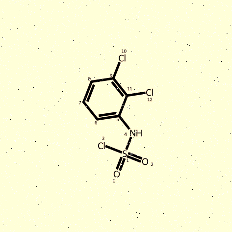 O=S(=O)(Cl)Nc1cccc(Cl)c1Cl